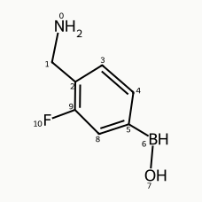 NCc1ccc(BO)cc1F